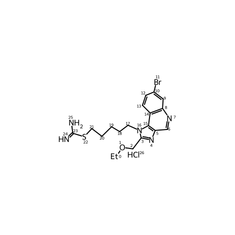 CCOCc1nc2cnc3cc(Br)ccc3c2n1CCCCCSC(=N)N.Cl